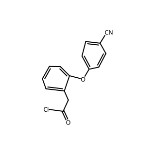 N#Cc1ccc(Oc2ccccc2CC(=O)Cl)cc1